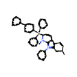 CC1C=Cc2c3c(n(-c4ccccc4)c2C1)N(C)C([Si](c1ccccc1)(c1ccccc1)c1ccc(-c2ccccc2)cc1)C=C3